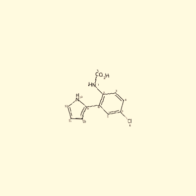 O=C(O)Nc1ccc(Cl)cc1-c1ccc[nH]1